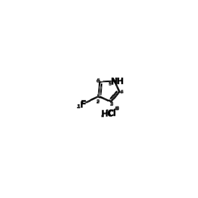 Cl.Fc1cc[nH]c1